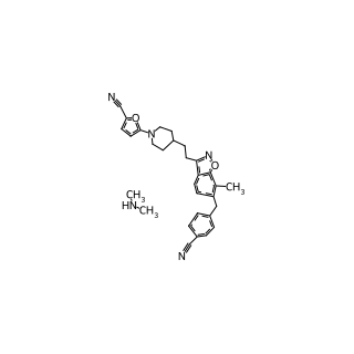 CNC.Cc1c(Cc2ccc(C#N)cc2)ccc2c(CCC3CCN(c4ccc(C#N)o4)CC3)noc12